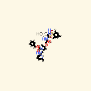 Cc1cc(C)c(S(=O)(=O)N[C@@H](CNC(=O)CO[C@@H]2C[C@@H](CNc3cccc(C)n3)N(C(=O)OCc3ccccc3)C2)C(=O)O)c(C)c1